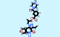 CCc1nn(CC(C)COC(=O)c2cccc(C(=O)N3CCN(C)CC3)c2)c2c1C(=O)NCC1(CCOCC1)C2